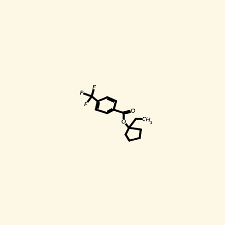 CCC1(OC(=O)c2ccc(C(F)(F)F)cc2)CCCC1